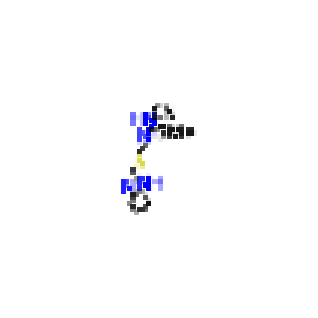 CS/C(=N\CCSCc1nc2ccccc2[nH]1)NC#N